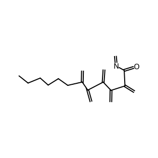 C=NC(=O)C(=C)C(=C)C(=C)C(=C)C(=C)CCCCCC